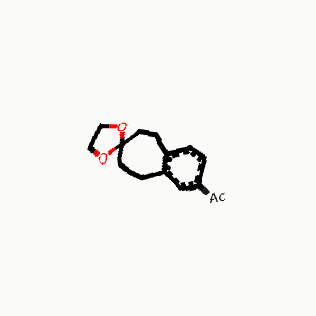 CC(=O)c1ccc2c(c1)CCC1(CC2)OCCO1